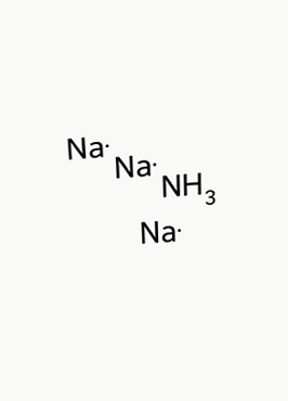 N.[Na].[Na].[Na]